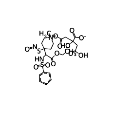 CCOC(=O)C(NS(=O)(=O)c1ccccc1)C1(SN=O)CC[N+](C)(OC(=O)CC(O)(CC(=O)O)C(=O)[O-])CC1